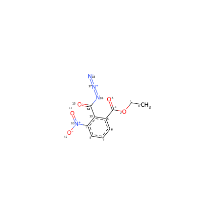 CCOC(=O)c1cccc([N+](=O)[O-])c1C(=O)N=[N+]=[N-]